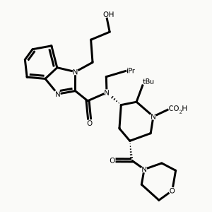 CC(C)CN(C(=O)c1nc2ccccc2n1CCCO)[C@H]1C[C@@H](C(=O)N2CCOCC2)CN(C(=O)O)C1C(C)(C)C